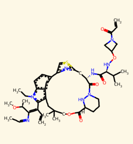 C=CC(=O)N1CC(ON[C@H](C(=O)N[C@H]2Cc3nc(cs3)-c3ccc4c(c3)c(c(/C(C=C)=C(/N=C\C)[C@H](C)OC)n4CC)CC(C)(C)COC(=O)[C@@H]3CCCN(N3)C2=O)C(C)C)C1